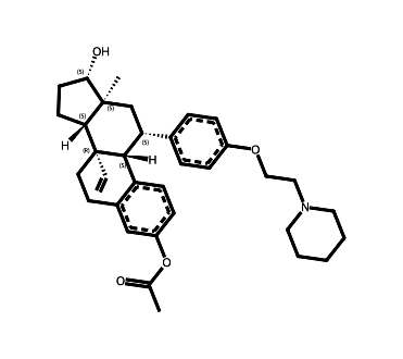 C=C[C@@]12CCc3cc(OC(C)=O)ccc3[C@H]1[C@@H](c1ccc(OCCN3CCCCC3)cc1)C[C@@]1(C)[C@H]2CC[C@@H]1O